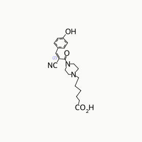 N#C/C(=C/c1ccc(O)cc1)C(=O)N1CCN(CCCCCC(=O)O)CC1